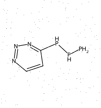 PPPc1ccnnn1